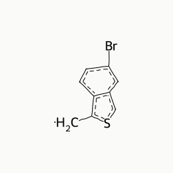 [CH2]c1scc2cc(Br)ccc12